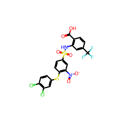 O=C(O)c1ccc(C(F)(F)F)cc1NS(=O)(=O)c1ccc(Sc2ccc(Cl)c(Cl)c2)c([N+](=O)[O-])c1